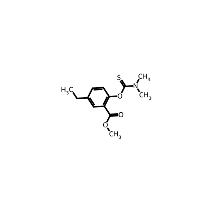 CCc1ccc(OC(=S)N(C)C)c(C(=O)OC)c1